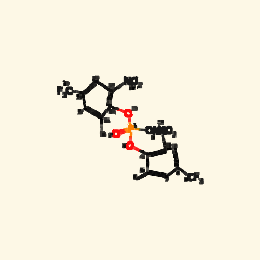 COP(=O)(Oc1c(C)cc(C(F)(F)F)cc1[N+](=O)[O-])Oc1c(C)cc(C(F)(F)F)cc1[N+](=O)[O-]